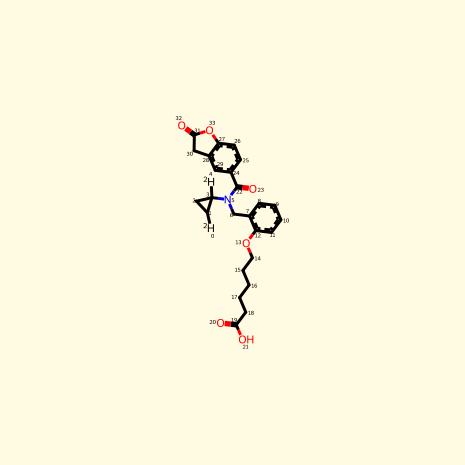 [2H]C1CC1([2H])N(Cc1ccccc1OCCCCCC(=O)O)C(=O)c1ccc2c(c1)CC(=O)O2